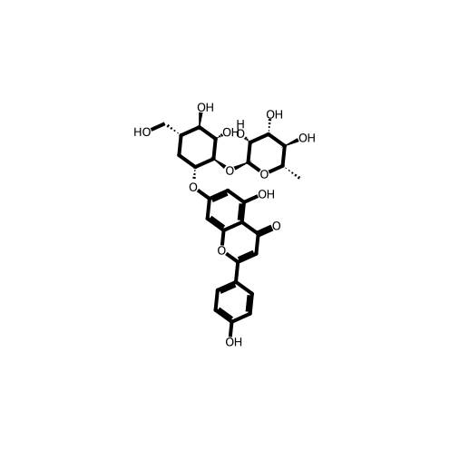 C[C@@H]1O[C@@H](O[C@@H]2[C@@H](O)[C@H](O)[C@@H](CO)C[C@H]2Oc2cc(O)c3c(=O)cc(-c4ccc(O)cc4)oc3c2)[C@H](O)[C@H](O)[C@H]1O